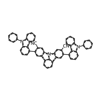 N#Cc1cc2c(cc1-c1cccc3c1c1ccccc1n3-c1ccccc1)c1cccc3c4cc(-c5cccc6c5c5ccccc5n6-c5ccccc5)c(C#N)cc4n2c13